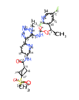 C[C@@H](OC(=O)Nc1c(-c2ccc(NC(=O)C34CC(S(C)(=O)=O)(C3)C4)cn2)nnn1C)c1cc(F)cnc1F